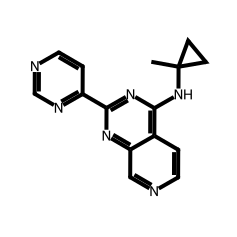 CC1(Nc2nc(-c3ccncn3)nc3cnccc23)CC1